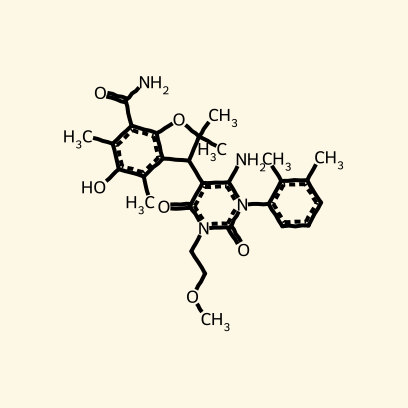 COCCn1c(=O)c(C2c3c(C)c(O)c(C)c(C(N)=O)c3OC2(C)C)c(N)n(-c2cccc(C)c2C)c1=O